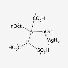 CCCCCCCCC(CCCCCCCC)(C(=O)O)C(C(=O)O)S(=O)(=O)O.[MgH2]